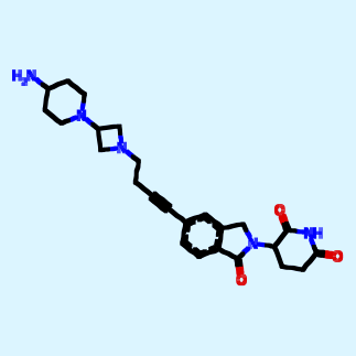 NC1CCN(C2CN(CCC#Cc3ccc4c(c3)CN(C3CCC(=O)NC3=O)C4=O)C2)CC1